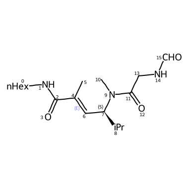 CCCCCCNC(=O)/C(C)=C/[C@H](C(C)C)N(C)C(=O)CNC=O